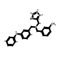 Cc1cccc(CN(Cc2cccc(Oc3ccccc3)c2)Cc2nnn[nH]2)c1